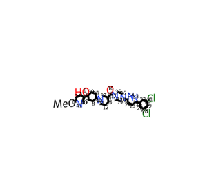 COc1ccc([C@]2(O)CC[C@H](N3CCCC(C(=O)N4CCN(c5ccc(-c6cc(Cl)cc(Cl)c6)nn5)CC4)C3)CC2)cn1